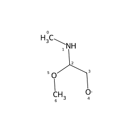 CNC(C[O])OC